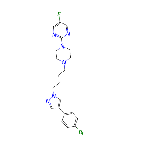 Fc1cnc(N2CCN(CCCCn3cc(-c4ccc(Br)cc4)cn3)CC2)nc1